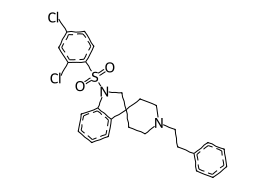 O=S(=O)(c1ccc(Cl)cc1Cl)N1CC2(CCN(CCc3ccccc3)CC2)c2ccccc21